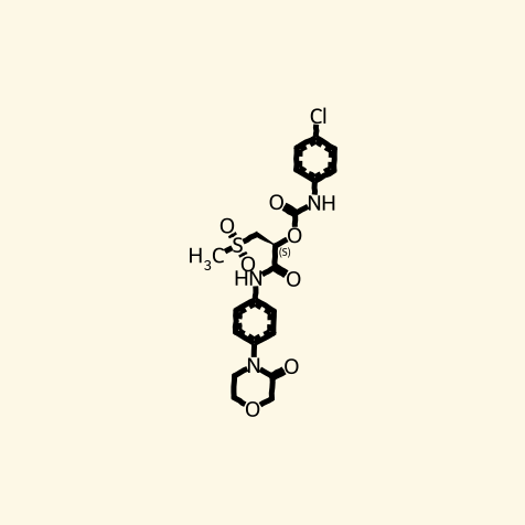 CS(=O)(=O)C[C@@H](OC(=O)Nc1ccc(Cl)cc1)C(=O)Nc1ccc(N2CCOCC2=O)cc1